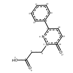 O=C(O)CCn1nc(-c2ccccc2)ccc1=O